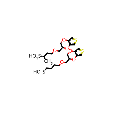 CC(CCOCC1COc2cscc2O1)S(=O)(=O)O.O=S(=O)(O)CCCCOCC1COc2cscc2O1